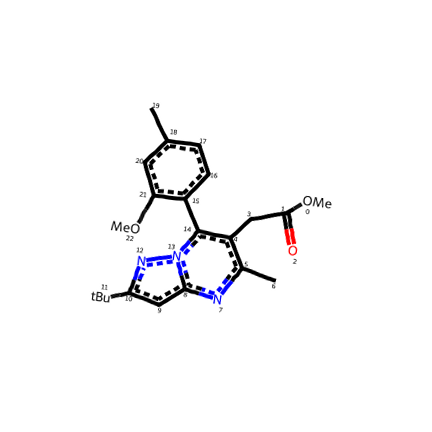 COC(=O)Cc1c(C)nc2cc(C(C)(C)C)nn2c1-c1ccc(C)cc1OC